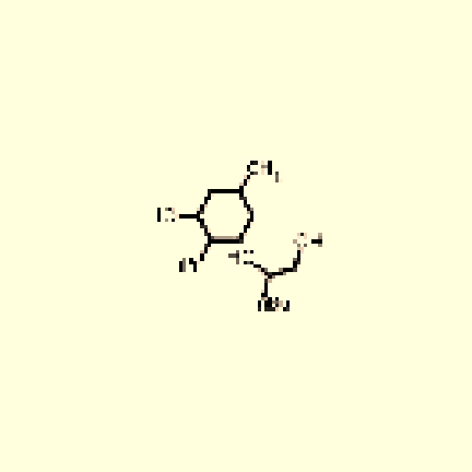 CC1CCC(C(C)C)C(O)C1.CCCCC(O)CO